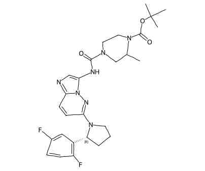 CC1CN(C(=O)Nc2cnc3ccc(N4CCC[C@@H]4c4cc(F)ccc4F)nn23)CCN1C(=O)OC(C)(C)C